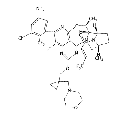 C/C(=C\C(=O)N1[C@@H]2CC[C@H]1[C@H]1[C@H](C)Oc3nc(-c4cc(N)cc(Cl)c4C(F)(F)F)c(F)c4nc(OCC5(CN6CCOCC6)CC5)nc(c34)N1C2)C(F)(F)F